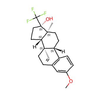 C=C[C@@]12CCc3cc(OC)ccc3[C@H]1CC[C@@]1(C)[C@H]2CC[C@@]1(O)C(F)(F)F